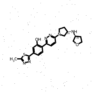 Cc1nnc(-c2ccc(-c3ccc(N4CC[C@H](N[C@H]5CCOC5)C4)nn3)c(O)c2)s1